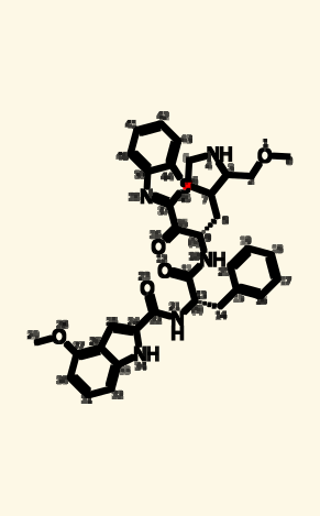 COCC1NCCC1C[C@H](NC(=O)[C@H](Cc1ccccc1)NC(=O)c1cc2c(OC)cccc2[nH]1)C(=O)c1nc2ccccc2s1